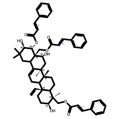 C=C[C@]12CC[C@H](O)[C@](C)(COC(=O)/C=C/c3ccccc3)C1CC[C@]1(C)C2CC=C2C3CC(C)(C)[C@@H](O)[C@H](OC(=O)/C=C/c4ccccc4)[C@]3(COC(=O)/C=C/c3ccccc3)[C@H](O)C[C@]21C